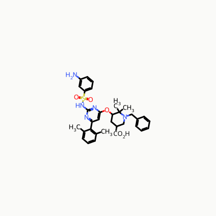 Cc1cccc(C)c1-c1cc(OC2CC(C(=O)O)CN(Cc3ccccc3)C2(C)C)nc(NS(=O)(=O)c2cccc(N)c2)n1